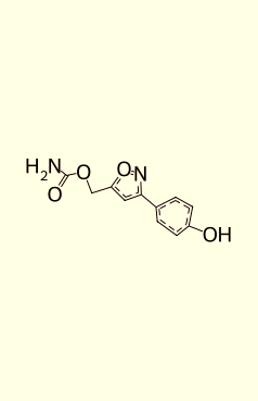 NC(=O)OCc1cc(-c2ccc(O)cc2)no1